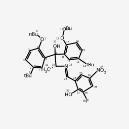 CCCCOc1ccc(C(C)(C)C)cc1C(O)(c1cc(C(C)(C)C)ccc1OCCCC)[C@@H](C)N=Cc1cc([N+](=O)[O-])cc(F)c1O